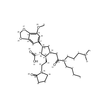 CCCCN(CCCN(C)C)C(=O)CN1C[C@H](c2cc(OC)c3c(c2)OCO3)[C@@H](C(=O)O)[C@@H]1CCN1CCCC1=O